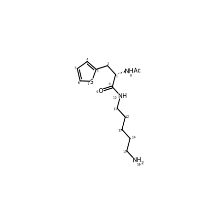 CC(=O)N[C@@H](Cc1cccs1)C(=O)NCCCCCN